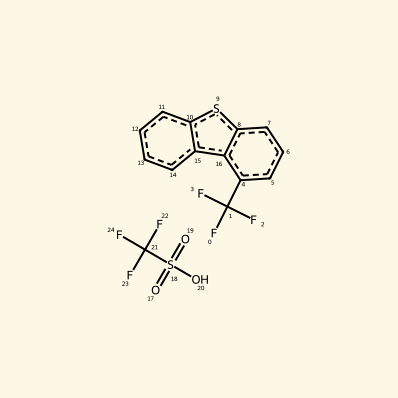 FC(F)(F)c1cccc2sc3ccccc3c12.O=S(=O)(O)C(F)(F)F